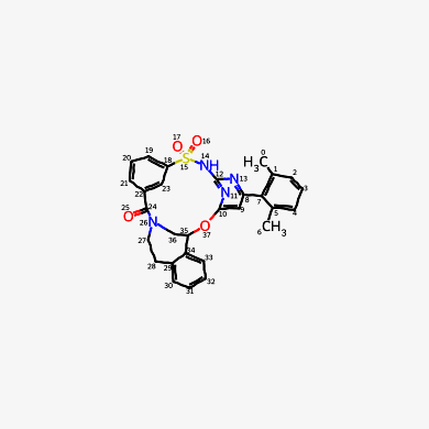 Cc1cccc(C)c1-c1cc2nc(n1)NS(=O)(=O)c1cccc(c1)C(=O)N1CCc3ccccc3C(C1)O2